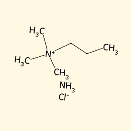 CCC[N+](C)(C)C.N.[Cl-]